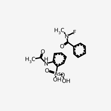 CC(=O)Nc1ccccc1[As](=O)(O)OO.CN(F)C(=O)c1ccccc1